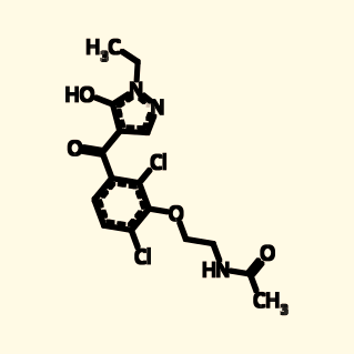 CCn1ncc(C(=O)c2ccc(Cl)c(OCCNC(C)=O)c2Cl)c1O